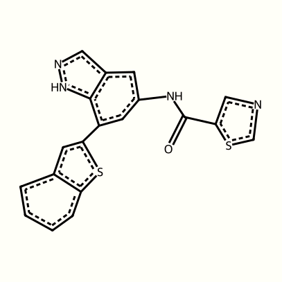 O=C(Nc1cc(-c2cc3ccccc3s2)c2[nH]ncc2c1)c1cncs1